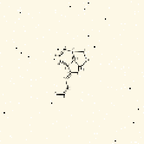 C/C=C\C=C1/CN2CCc3cccc1c32